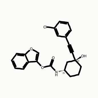 O=C(N[C@H]1CCC[C@@](O)(C#Cc2cccc(Cl)c2)C1)Oc1coc2ccccc12